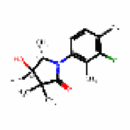 Cc1c(N2C(=O)C(C)(C)[C@](C)(O)[C@@H]2C)ccc(C#N)c1Cl